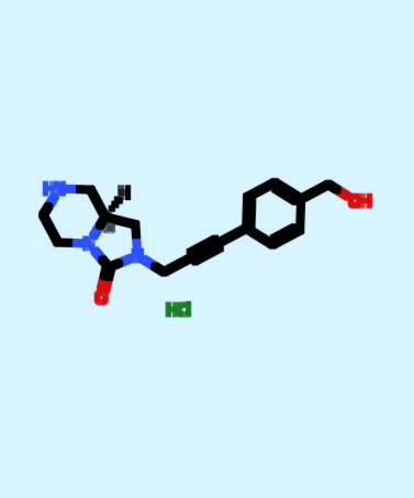 Cl.O=C1N(CC#Cc2ccc(CO)cc2)C[C@@H]2CNCCN12